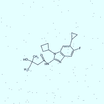 CC(C)(O)CC(=O)Nc1nc2cc(F)c(C3CC3)cc2n1C1CCC1